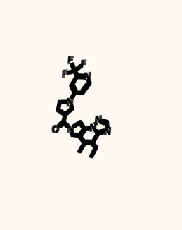 CCc1c(C)c2c(n3ncnc13)CN(C(=O)C1CCN(c3ccnc(C(F)(F)F)c3)C1)C2